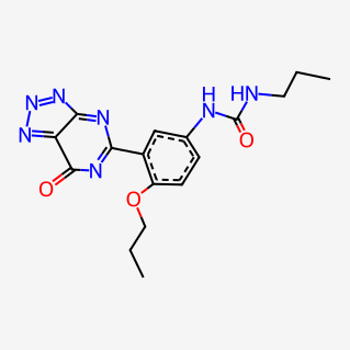 CCCNC(=O)Nc1ccc(OCCC)c(C2=NC(=O)C3=NN=NC3=N2)c1